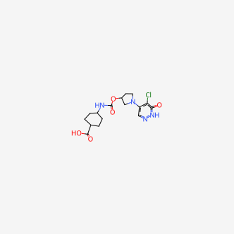 O=C(NC1CCC(C(=O)O)CC1)OC1CCN(c2cn[nH]c(=O)c2Cl)C1